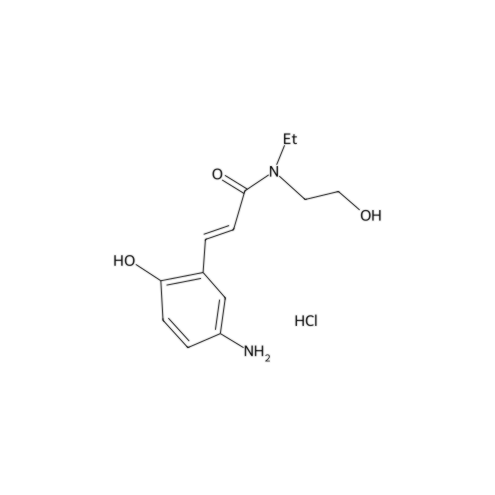 CCN(CCO)C(=O)C=Cc1cc(N)ccc1O.Cl